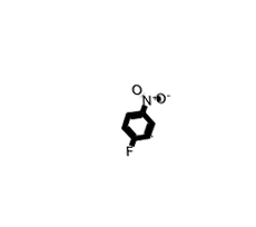 O=[N+]([O-])c1c[c]c(F)cc1